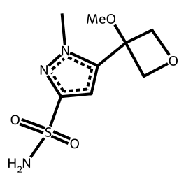 COC1(c2cc(S(N)(=O)=O)nn2C)COC1